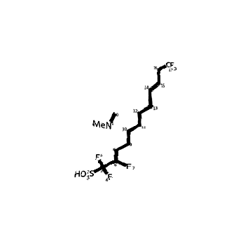 CNC.O=S(=O)(O)C(F)(F)C(F)CCCCCCCCCC(F)(F)F